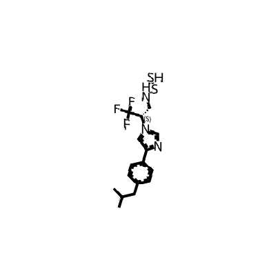 CC(C)Cc1ccc(-c2cn([C@@H](CNSS)C(F)(F)F)cn2)cc1